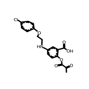 CC(=O)C(=O)Oc1ccc(NCCOc2ccc(Cl)cc2)cc1C(=O)O